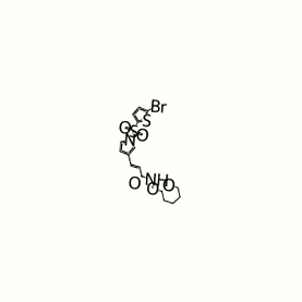 O=C(C=Cc1ccn(S(=O)(=O)c2ccc(Br)s2)c1)NOC1CCCCO1